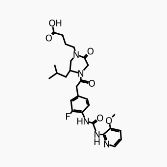 COc1cccnc1NC(=O)Nc1ccc(CC(=O)N2CC(=O)N(CCCC(=O)O)CC2CC(C)C)cc1F